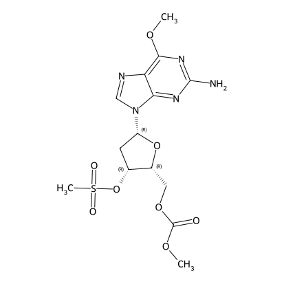 COC(=O)OC[C@H]1O[C@@H](n2cnc3c(OC)nc(N)nc32)C[C@H]1OS(C)(=O)=O